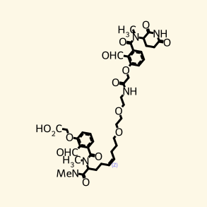 CNC(=O)C(CC/C=C\CCCOCCOCCNC(=O)COc1cccc(C(=O)N(C)C2CCC(=O)NC2=O)c1C=O)N(C)C(=O)c1cccc(OCC(=O)O)c1C=O